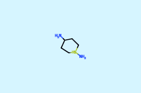 NC1CC[SH](N)CC1